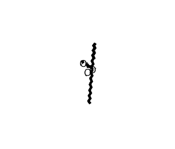 CCCCCCCCCCCC(=O)OC(CCCCCCCCC)CCOC